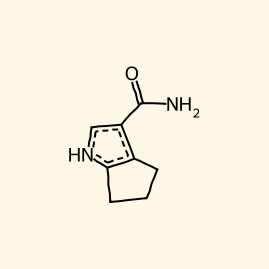 NC(=O)c1c[nH]c2c1CCC2